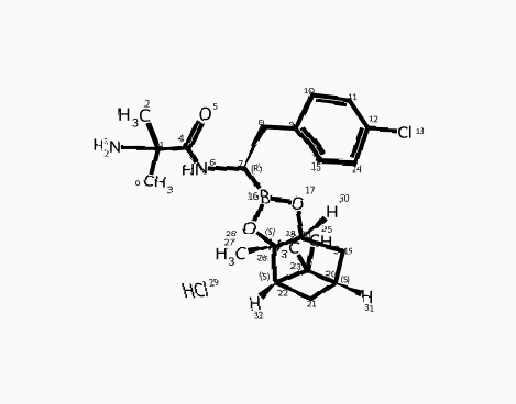 CC(C)(N)C(=O)N[C@@H](Cc1ccc(Cl)cc1)B1O[C@@H]2C[C@@H]3C[C@@H](C3(C)C)[C@]2(C)O1.Cl